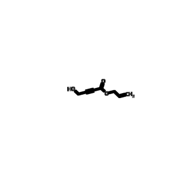 C=CCOC(=O)C#CCO